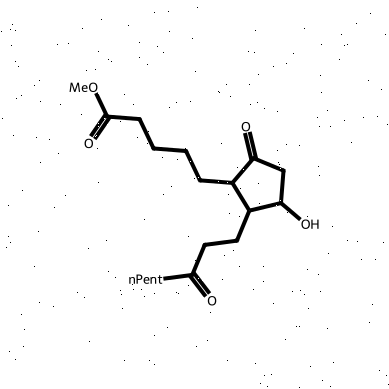 CCCCCC(=O)CCC1C(O)CC(=O)C1CCCCC(=O)OC